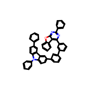 c1ccc(-c2ccc3c(c2)c2cc(-c4cccc(-c5cccc(-c6nc(-c7ccccc7)nc7oc8ccccc8c67)c5)c4)ccc2n3-c2ccccc2)cc1